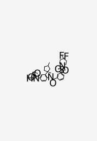 CC1CCC2(C1)CN(C(=O)c1cccc(S(=O)(=O)N3CCC(F)(F)CC3)c1)c1ccc(NS(C)(=O)=O)cc12